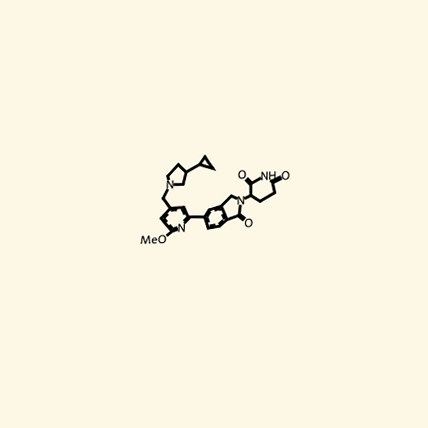 COc1cc(CN2CCC(C3CC3)C2)cc(-c2ccc3c(c2)CN(C2CCC(=O)NC2=O)C3=O)n1